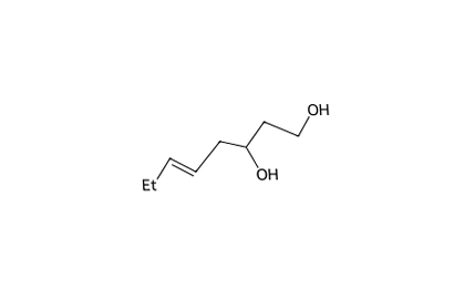 CCC=CCC(O)CCO